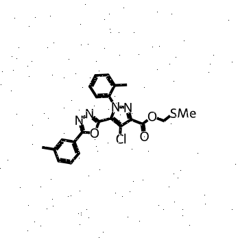 CSCOC(=O)c1nn(-c2ccccc2C)c(-c2nnc(-c3cccc(C)c3)o2)c1Cl